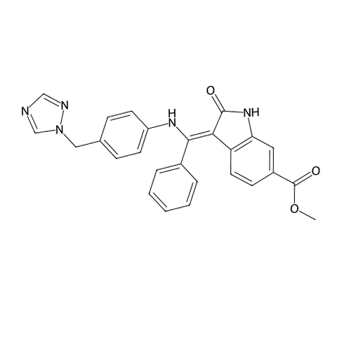 COC(=O)c1ccc2c(c1)NC(=O)/C2=C(\Nc1ccc(Cn2cncn2)cc1)c1ccccc1